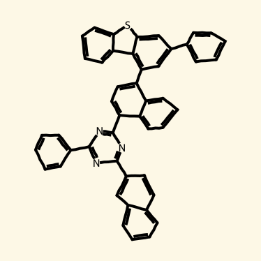 c1ccc(-c2cc(-c3ccc(-c4nc(-c5ccccc5)nc(-c5ccc6ccccc6c5)n4)c4ccccc34)c3c(c2)sc2ccccc23)cc1